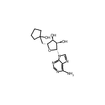 Nc1ncnc2c1ncn2[C@@H]1O[C@H](CC2(O)CCCC2)[C@@H](O)[C@H]1O